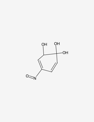 O=NC1=CC(O)C(O)(O)C=C1